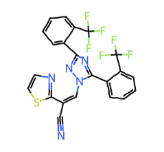 N#C/C(=C/n1nc(-c2ccccc2C(F)(F)F)nc1-c1ccccc1C(F)(F)F)c1nccs1